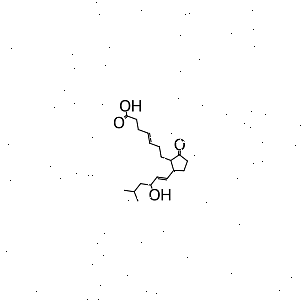 CC(C)CC(O)C=CC1CCC(=O)C1CCC=CCCC(=O)O